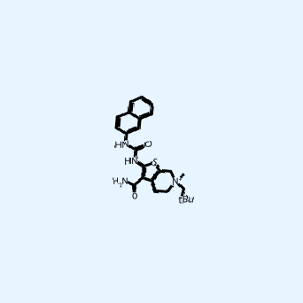 CC(C)(C)C[N+]1(C)CCc2c(sc(NC(=O)Nc3ccc4ccccc4c3)c2C(N)=O)C1